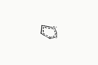 c1cs[s+]c1